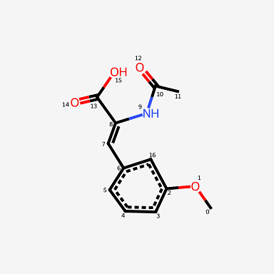 COc1cccc(/C=C(\NC(C)=O)C(=O)O)c1